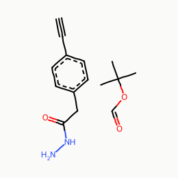 C#Cc1ccc(CC(=O)NN)cc1.CC(C)(C)OC=O